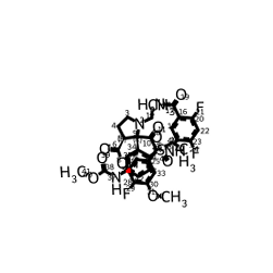 CCN1CC[C@H](C(=O)O)[C@]1(C(=O)[C@H](Nc1cc(C(N)=O)c(F)cc1F)c1ccc(F)c(OC)c1)c1cc(NC(=O)OC)ccc1S(=O)(=O)CC